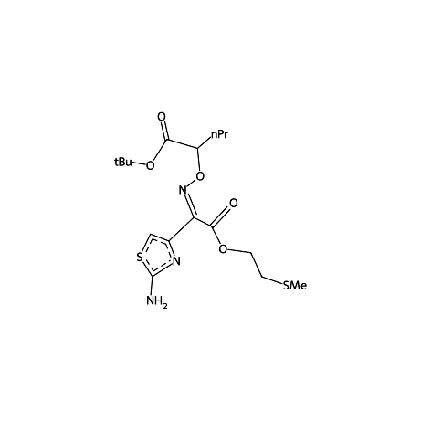 CCCC(ON=C(C(=O)OCCSC)c1csc(N)n1)C(=O)OC(C)(C)C